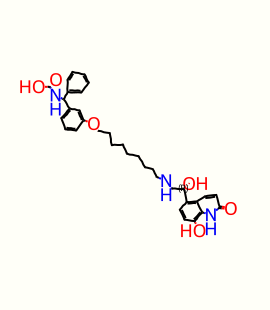 O=C(O)NC(c1ccccc1)c1cccc(OCCCCCCCCCNC[C@H](O)c2ccc(O)c3[nH]c(=O)ccc23)c1